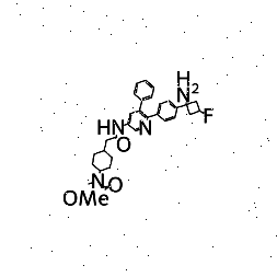 COC(=O)N(C)C1CCC(CC(=O)Nc2cnc(-c3ccc([C@]4(N)C[C@H](F)C4)cc3)c(-c3ccccc3)c2)CC1